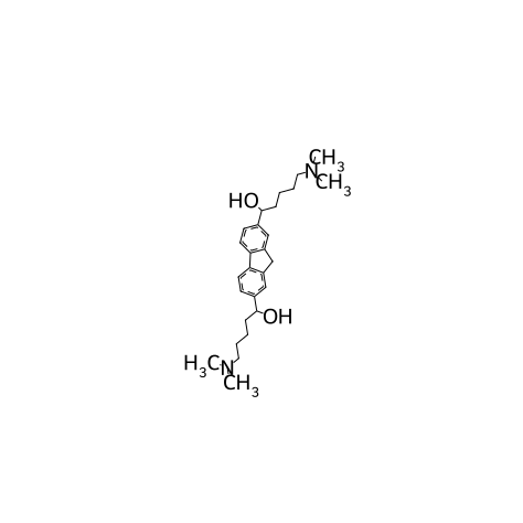 CN(C)CCCCC(O)c1ccc2c(c1)Cc1cc(C(O)CCCCN(C)C)ccc1-2